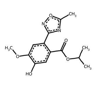 COc1cc(-c2noc(C)n2)c(C(=O)OC(C)C)cc1O